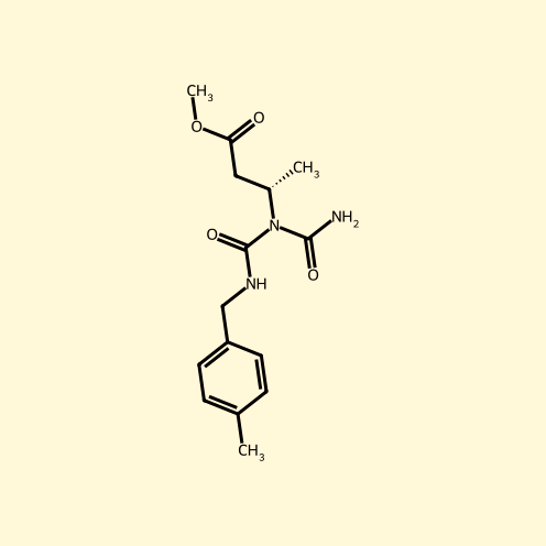 COC(=O)C[C@H](C)N(C(N)=O)C(=O)NCc1ccc(C)cc1